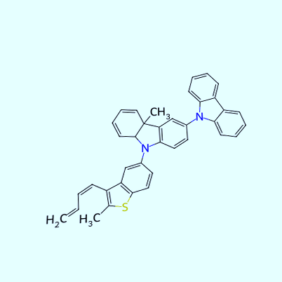 C=C/C=C\c1c(C)sc2ccc(N3c4ccc(-n5c6ccccc6c6ccccc65)cc4C4(C)C=CC=CC34)cc12